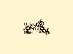 C[C@H]1CN([C@@H]2CC[C@@](C(=O)N3Cc4cc(C(F)(F)F)ccc4[C@@](C)(O)C3)(C3CC3)OC2)CCN1c1ccc(F)c(C(=O)O)c1